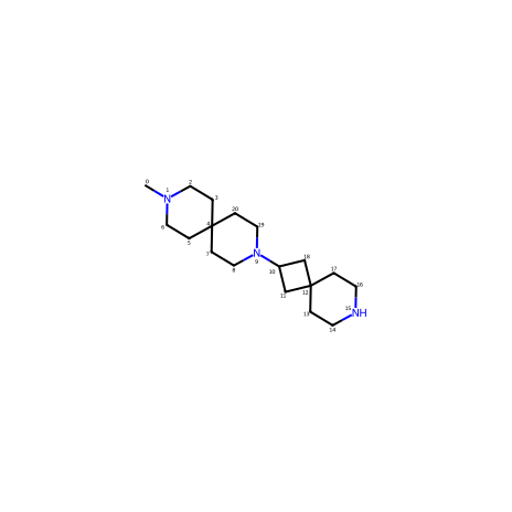 CN1CCC2(CC1)CCN(C1CC3(CCNCC3)C1)CC2